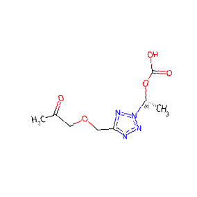 CC(=O)COCc1nnn([C@@H](C)OC(=O)O)n1